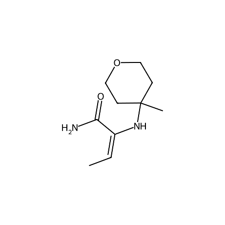 CC=C(NC1(C)CCOCC1)C(N)=O